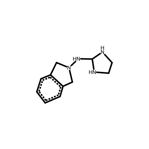 c1ccc2c(c1)CN(NC1NCCN1)C2